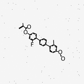 C=C(C)C(=O)Oc1ccc(-c2ccc(-c3ccc(OC=O)cc3C)cc2)c(F)c1